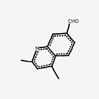 Cc1cc(C)c2ccc(C=O)cc2n1